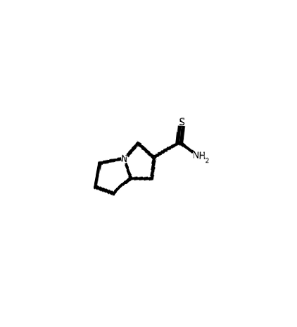 NC(=S)C1CC2CCCN2C1